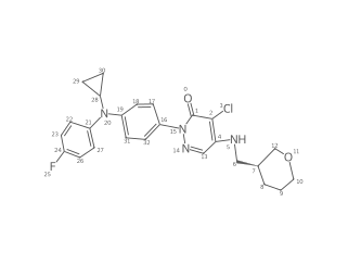 O=c1c(Cl)c(NC[C@@H]2CCCOC2)cnn1-c1ccc(N(c2ccc(F)cc2)C2CC2)cc1